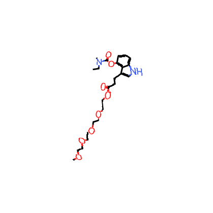 CCN(C)C(=O)Oc1cccc2[nH]cc(CCC(=O)OCCOCCOCCOCCOC)c12